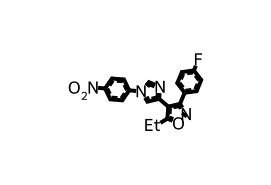 CCc1onc(-c2ccc(F)cc2)c1-c1cn(-c2ccc([N+](=O)[O-])cc2)cn1